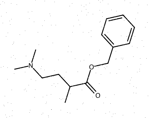 CC(CCN(C)C)C(=O)OCc1ccccc1